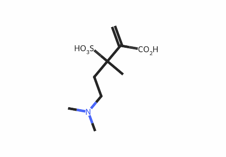 C=C(C(=O)O)C(C)(CCN(C)C)S(=O)(=O)O